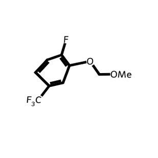 COCOc1cc(C(F)(F)F)ccc1F